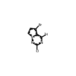 [2H]c1nc(Cl)nn2ccc(Br)c12